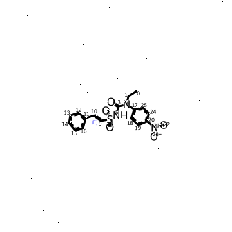 CCN(C(=O)NS(=O)(=O)/C=C/c1ccccc1)c1ccc([N+](=O)[O-])cc1